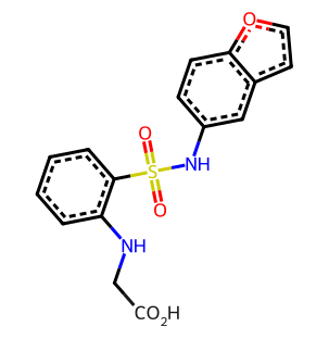 O=C(O)CNc1ccccc1S(=O)(=O)Nc1ccc2occc2c1